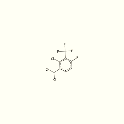 Fc1c[c]c(C(Cl)Cl)c(Cl)c1C(F)(F)F